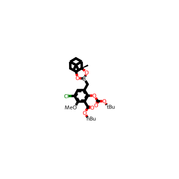 CCCCOC(=O)c1c(OC)c(Cl)cc(CB2OC3CC4CC(C4(C)C)[C@]3(C)O2)c1OC(=O)OC(C)(C)C